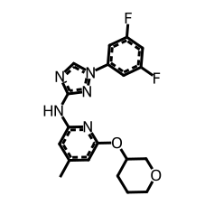 Cc1cc(Nc2ncn(-c3cc(F)cc(F)c3)n2)nc(OC2CCCOC2)c1